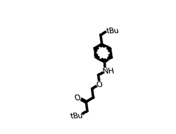 CC(C)(C)CC(=O)CCOCNc1ccc(CC(C)(C)C)cc1